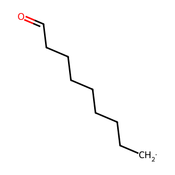 [CH2]CCCCCCCC=O